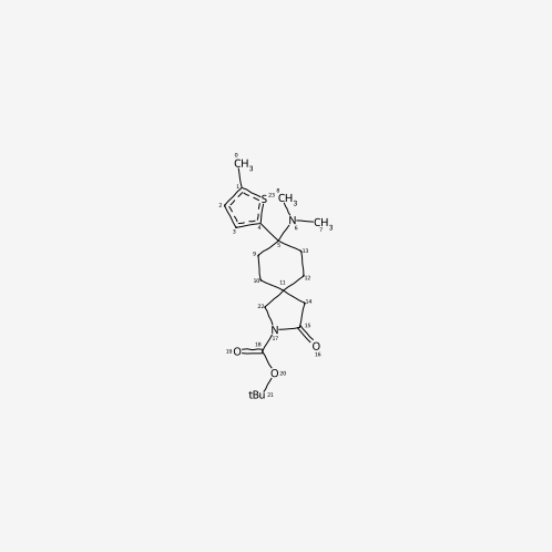 Cc1ccc(C2(N(C)C)CCC3(CC2)CC(=O)N(C(=O)OC(C)(C)C)C3)s1